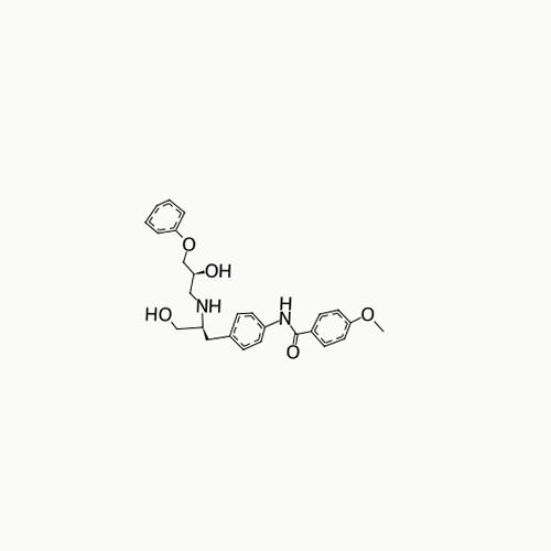 COc1ccc(C(=O)Nc2ccc(C[C@@H](CO)NC[C@H](O)COc3ccccc3)cc2)cc1